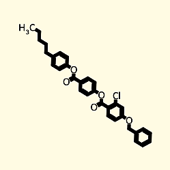 CCCCCc1ccc(OC(=O)c2ccc(OC(=O)c3ccc(OCc4ccccc4)cc3Cl)cc2)cc1